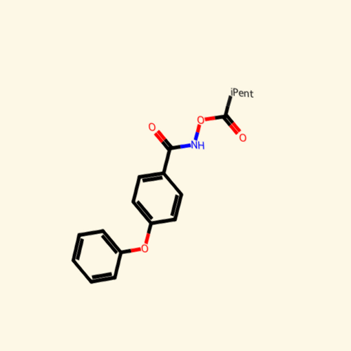 CCCC(C)C(=O)ONC(=O)c1ccc(Oc2ccccc2)cc1